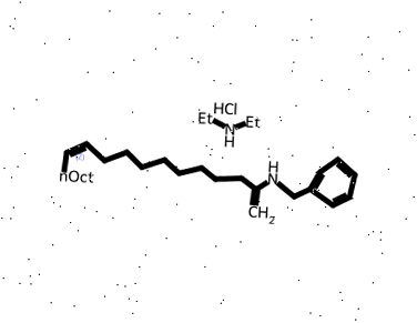 C=C(CCCCCCCC/C=C\CCCCCCCC)NCc1ccccc1.CCNCC.Cl